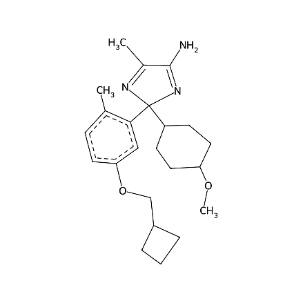 COC1CCC(C2(c3cc(OCC4CCC4)ccc3C)N=C(C)C(N)=N2)CC1